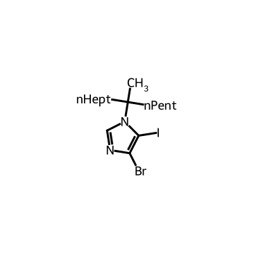 CCCCCCCC(C)(CCCCC)n1cnc(Br)c1I